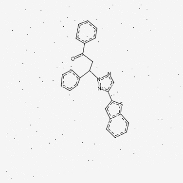 O=C(CC(c1ccccc1)n1ncc(-c2cc3ccccc3s2)n1)c1ccccc1